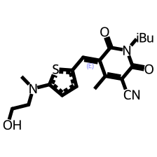 CCC(C)N1C(=O)C(C#N)=C(C)/C(=C\c2ccc(N(C)CCO)s2)C1=O